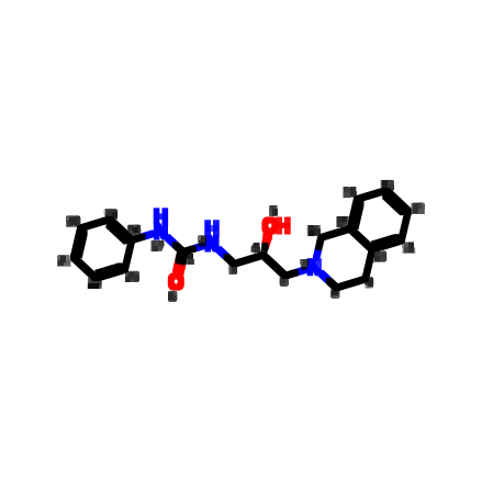 O=C(NC[C@@H](O)CN1CCc2ccccc2C1)Nc1ccccc1